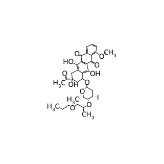 CCCOC[C@H](C)O[C@@H]1[C@H](C)O[C@@H](O[C@H]2C[C@](O)(C(C)=O)Cc3c(O)c4c(c(O)c32)C(=O)c2c(OC)cccc2C4=O)C[C@@H]1I